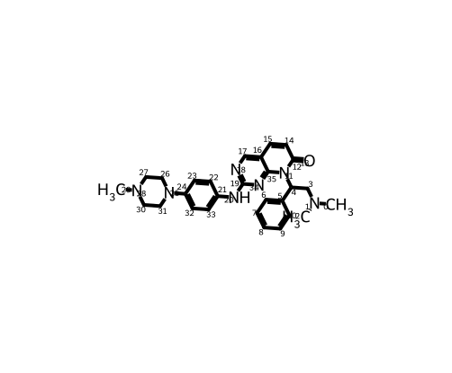 CN(C)CC(c1ccccc1)n1c(=O)ccc2cnc(Nc3ccc(N4CCN(C)CC4)cc3)nc21